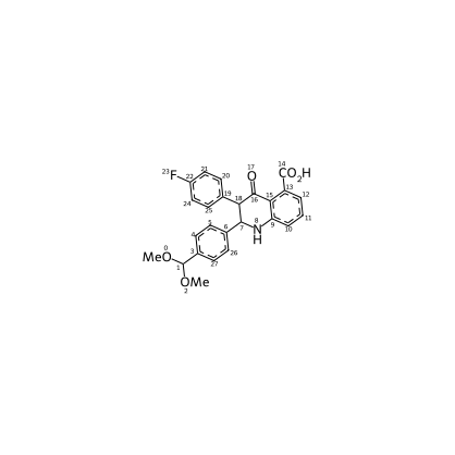 COC(OC)c1ccc(C2Nc3cccc(C(=O)O)c3C(=O)C2c2ccc(F)cc2)cc1